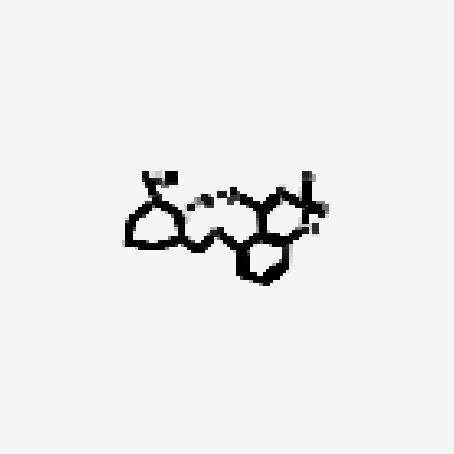 CC(C)(C)[C@@H]1C(COc2cccc3c2C(N)=NS(=O)(=O)N3)CCCN1C(=O)O